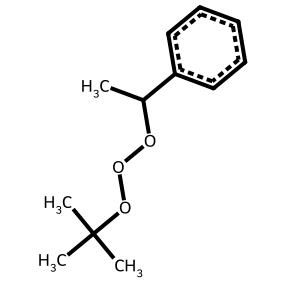 CC(OOOC(C)(C)C)c1ccccc1